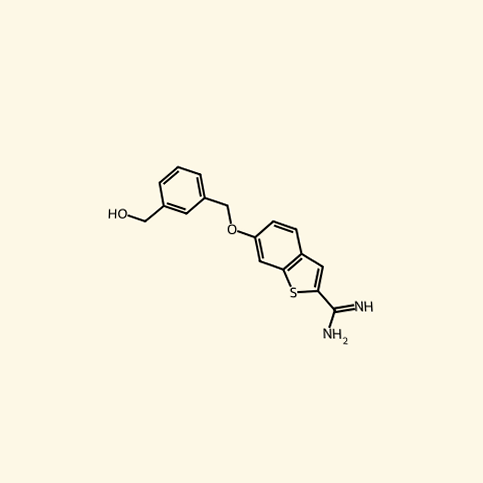 N=C(N)c1cc2ccc(OCc3cccc(CO)c3)cc2s1